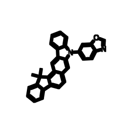 CC1(C)c2ccccc2-c2ccc3cc4c(cc3c21)c1ccccc1n4-c1ccc2ncoc2c1